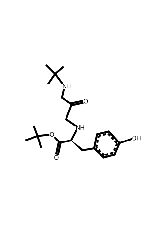 CC(C)(C)NCC(=O)CN[C@@H](Cc1ccc(O)cc1)C(=O)OC(C)(C)C